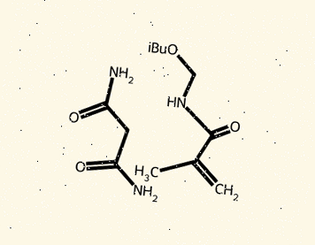 C=C(C)C(=O)NCOCC(C)C.NC(=O)CC(N)=O